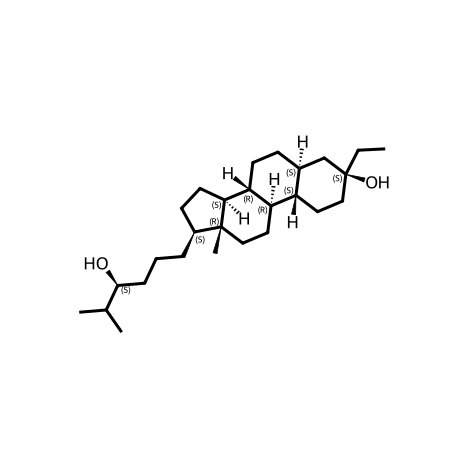 CC[C@]1(O)CC[C@H]2[C@@H](CC[C@@H]3[C@@H]2CC[C@]2(C)[C@@H](CCC[C@H](O)C(C)C)CC[C@@H]32)C1